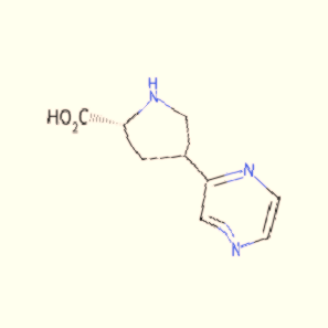 O=C(O)[C@H]1CC(c2cnccn2)CN1